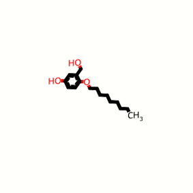 CCCCCCCCCOc1ccc(O)cc1CO